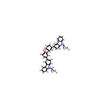 CCn1c2ccccc2c2cc(-c3ccc4oc5ccc(-c6ccc7c(c6)c6ccccc6n7CC)cc5c4c3)ccc21